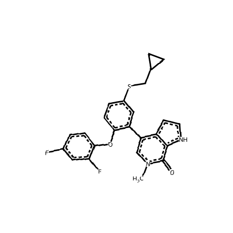 Cn1cc(-c2cc(SCC3CC3)ccc2Oc2ccc(F)cc2F)c2cc[nH]c2c1=O